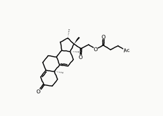 CC(=O)CCC(=O)OCC(=O)[C@@]1(C)[C@@H](C)CC2C3CCC4=CC(=O)CC[C@]4(C)C3=CC[C@@]21C